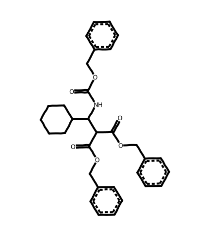 O=C(NC(C1CCCCC1)C(C(=O)OCc1ccccc1)C(=O)OCc1ccccc1)OCc1ccccc1